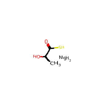 CC(O)C(=O)S.[MgH2]